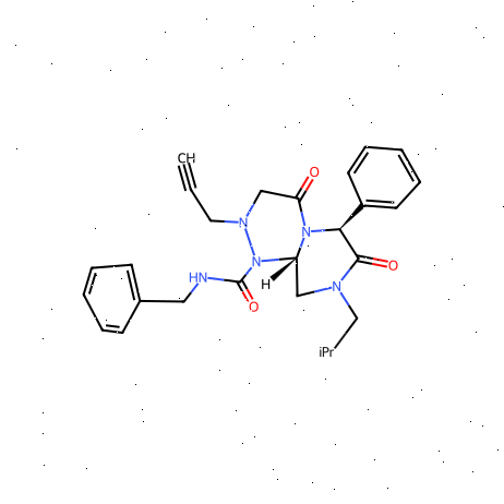 C#CCN1CC(=O)N2[C@@H](c3ccccc3)C(=O)N(CC(C)C)C[C@@H]2N1C(=O)NCc1ccccc1